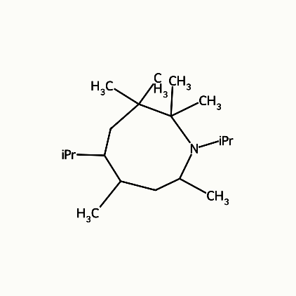 CC(C)C1CC(C)(C)C(C)(C)N(C(C)C)C(C)CC1C